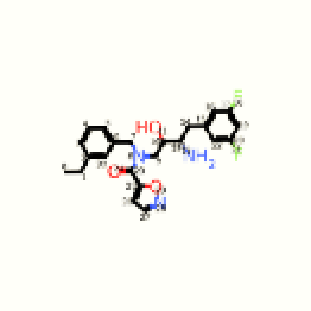 CCc1cccc(CN(C[C@@H](O)[C@@H](N)Cc2cc(F)cc(F)c2)C(=O)c2ccno2)c1